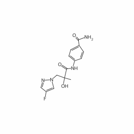 CC(O)(Cn1cc(F)cn1)C(=O)Nc1ccc(C(N)=O)cc1